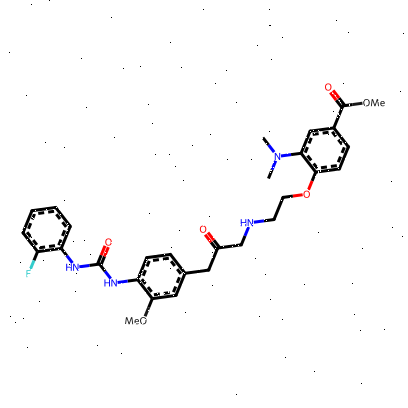 COC(=O)c1ccc(OCCNCC(=O)Cc2ccc(NC(=O)Nc3ccccc3F)c(OC)c2)c(N(C)C)c1